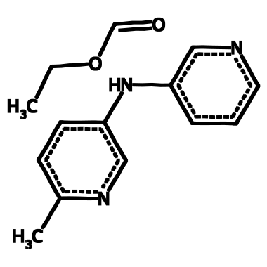 CCOC=O.Cc1ccc(Nc2cccnc2)cn1